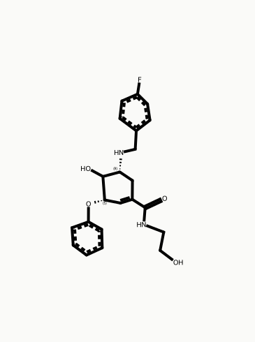 O=C(NCCO)C1=C[C@H](Oc2ccccc2)C(O)[C@H](NCc2ccc(F)cc2)C1